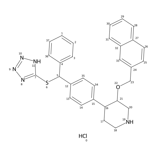 Cl.c1ccc(C(Sc2nnn[nH]2)c2ccc(C3CCNCC3OCc3ccc4ccccc4c3)cc2)cc1